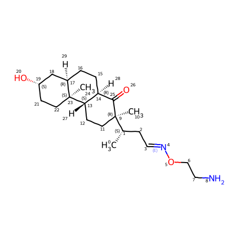 C[C@@H](C/C=N/OCCN)[C@@]1(C)CC[C@H]2[C@@H](CC[C@@H]3C[C@@H](O)CC[C@@]32C)C1=O